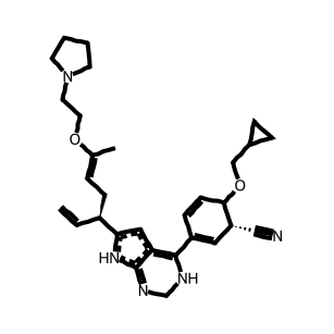 C=C[C@@H](C/C=C(\C)OCCN1CCCC1)c1cc2c([nH]1)=NCNC=2C1=C[C@@H](C#N)C(OCC2CC2)C=C1